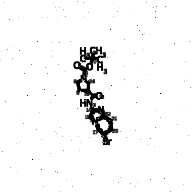 CC(C)(C)OC(=O)N1CC[C@H](C(=O)Nc2cn3cc(Br)ccc3n2)C1